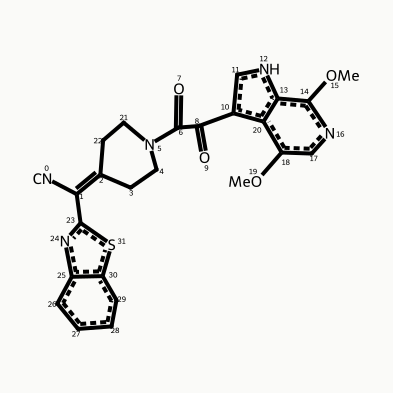 [C-]#[N+]C(=C1CCN(C(=O)C(=O)c2c[nH]c3c(OC)ncc(OC)c23)CC1)c1nc2ccccc2s1